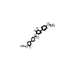 CCCCOc1ccc(C2CCC(C(=O)Oc3ccc(-c4ccc(OCCC)cc4)c(F)c3F)CC2)cc1F